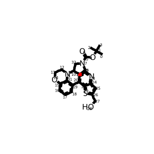 CC(C)(C)OC(=O)N1CCC(N2CCOc3cccc(-c4ccnc5cc(CO)sc45)c32)C1